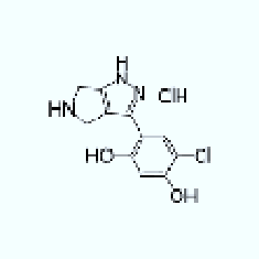 Cl.Oc1cc(O)c(-c2n[nH]c3c2CNC3)cc1Cl